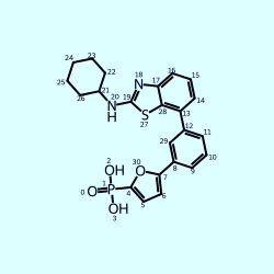 O=P(O)(O)c1ccc(-c2cccc(-c3cccc4nc(NC5CCCCC5)sc34)c2)o1